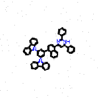 C1=C(c2ccc(-c3cc(-n4c5ccccc5c5ccccc54)cc(-n4c5ccccc5c5ccccc54)c3)c3ccccc23)N=C(c2ccccc2)NC1c1ccccc1